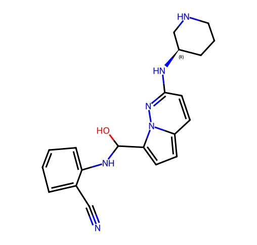 N#Cc1ccccc1NC(O)c1ccc2ccc(N[C@@H]3CCCNC3)nn12